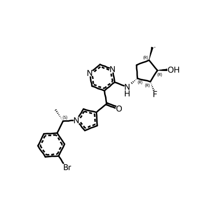 [CH2][C@@H]1C[C@@H](Nc2ncncc2C(=O)c2ccn([C@@H](C)c3cccc(Br)c3)c2)[C@@H](F)[C@@H]1O